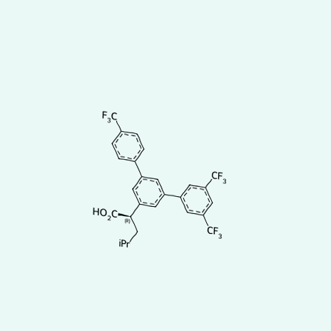 CC(C)C[C@@H](C(=O)O)c1cc(-c2ccc(C(F)(F)F)cc2)cc(-c2cc(C(F)(F)F)cc(C(F)(F)F)c2)c1